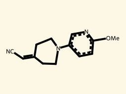 COc1ccc(N2CCC(=CC#N)CC2)cn1